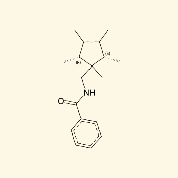 CC1C(C)[C@H](C)C(C)(CNC(=O)c2ccccc2)[C@@H]1C